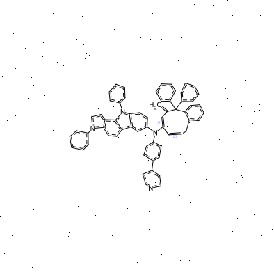 C=C1/C=C(N(c2ccc(-c3ccncc3)cc2)c2ccc3c(c2)c2ccc4c(ccn4-c4ccccc4)c2n3-c2ccccc2)\C=C/Cc2ccccc2C1(c1ccccc1)c1ccccc1